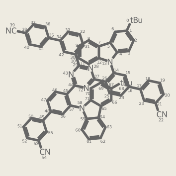 CC(C)(C)c1ccc2c(c1)c1ccccc1n2-c1cc(-c2cccc(C#N)c2)ccc1-c1nc(-c2cccc(-c3ccc(C#N)cc3)c2)nc(-c2ccc(-c3cccc(C#N)c3)cc2-n2c3ccccc3c3cc(C(C)(C)C)ccc32)n1